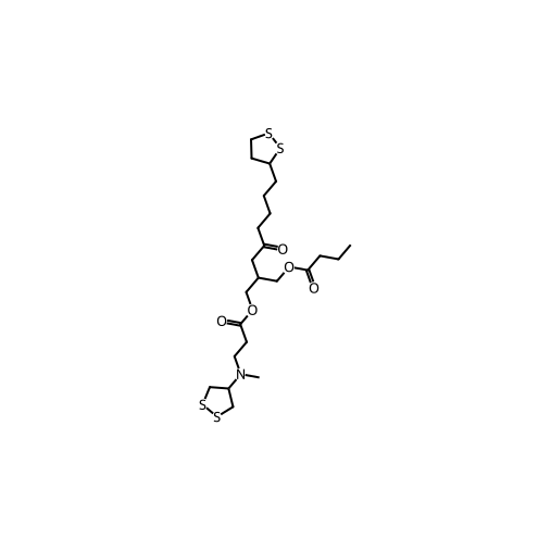 CCCC(=O)OCC(COC(=O)CCN(C)C1CSSC1)CC(=O)CCCCC1CCSS1